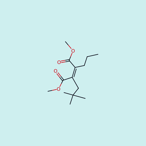 CCC/C(C(=O)OC)=C(\CC(C)(C)C)C(=O)OC